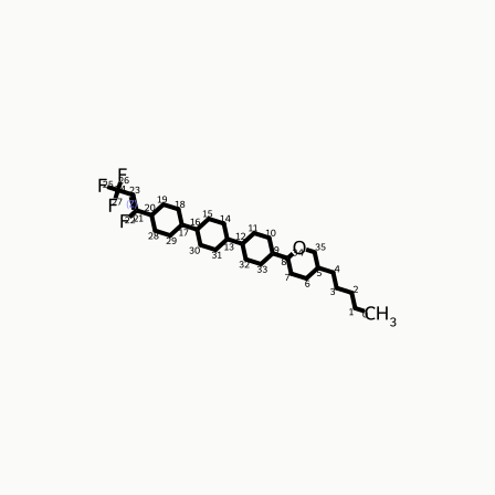 CCCCCC1CCC(C2CCC(C3CCC(C4CCC(/C(F)=C/C(F)(F)F)CC4)CC3)CC2)OC1